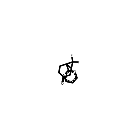 O=C1CCC2(c3ncccn3)C(C1)C2(F)F